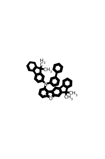 CC1(C)C2=C(C=CCC2)c2ccc(N(c3cccc(-c4ccccc4)c3)c3cccc4oc5cc6c(cc5c34)-c3ccccc3C6(C)C)cc21